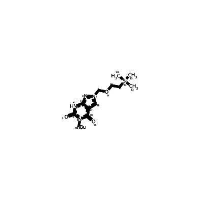 CCCCn1c(=O)[nH]c2nn(COCC[Si](C)(C)C)cc2c1=O